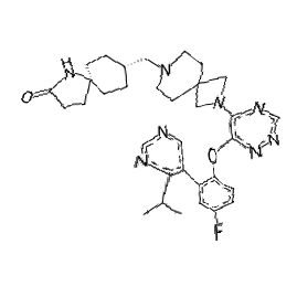 CC(C)c1ncncc1-c1cc(F)ccc1Oc1nncnc1N1CC2(CCN(C[C@H]3CC[C@@]4(CCC(=O)N4)CC3)CC2)C1